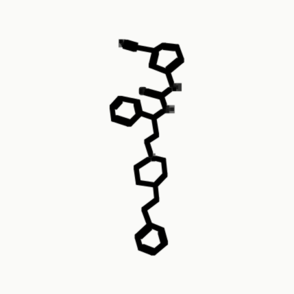 N#Cc1cccc(NC(=O)NC(CCN2CCC(CCc3ccccc3)CC2)c2ccccc2)c1